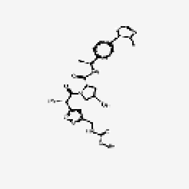 CC1N=CSC1c1ccc([C@H](C)NC(=O)[C@@H]2C[C@@H](O)CN2C(=O)[C@@H](c2cc(CNC(=O)OC(C)(C)C)no2)C(C)C)cc1